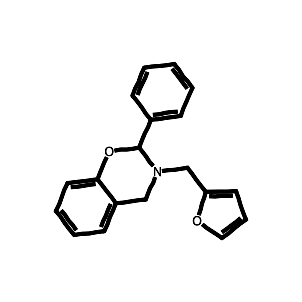 c1ccc(C2Oc3ccccc3CN2Cc2ccco2)cc1